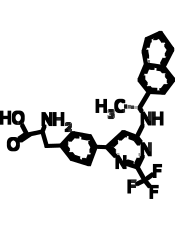 C[C@@H](Nc1cc(-c2ccc(CC(N)C(=O)O)cc2)nc(C(F)(F)F)n1)c1ccc2ccccc2c1